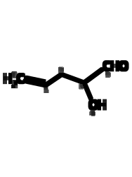 C=CCC(O)C=O